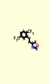 FC(F)(F)c1ccc(C(F)(F)F)c(CCC2CO[C]=N2)c1